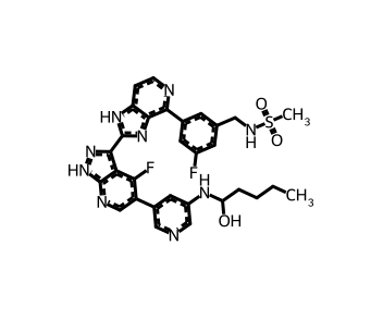 CCCCC(O)Nc1cncc(-c2cnc3[nH]nc(-c4nc5c(-c6cc(F)cc(CNS(C)(=O)=O)c6)nccc5[nH]4)c3c2F)c1